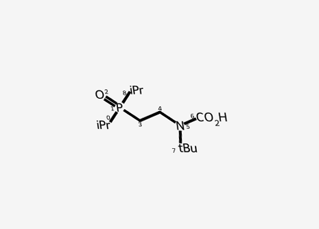 CC(C)P(=O)(CCN(C(=O)O)C(C)(C)C)C(C)C